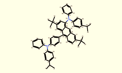 CC(C)c1ccc(N(c2ccccc2)c2ccc(-c3c4ccc(C(C)(C)C)cc4cc4c(N(c5ccccc5)c5ccc(C(C)C)cc5)cc(C(C)(C)C)cc34)cc2)cc1